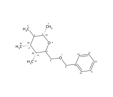 CC1[C@H](C)OC(COCc2ccccc2)[C@H](C)[C@@H]1C